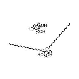 CCCCCCCCCCCCCCCCCCOC(C(=O)O)C(OCCCCCCCCCCCCCCCCCC)C(=O)O.O=C(O)CC(O)(CC(=O)O)C(=O)O